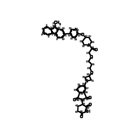 Cn1c2ccncc2c2ccc(-c3ccc(OC4CCN(C(=O)COCCCOC5CN(c6ccc7c(c6)C(=O)N(C6CCC(=O)NC6=O)C7=O)C5)CC4)nc3)cc21